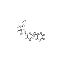 CCOC(=O)[C@]1(C)C[C@@H](c2cccc(Oc3ccccc3)c2)C1